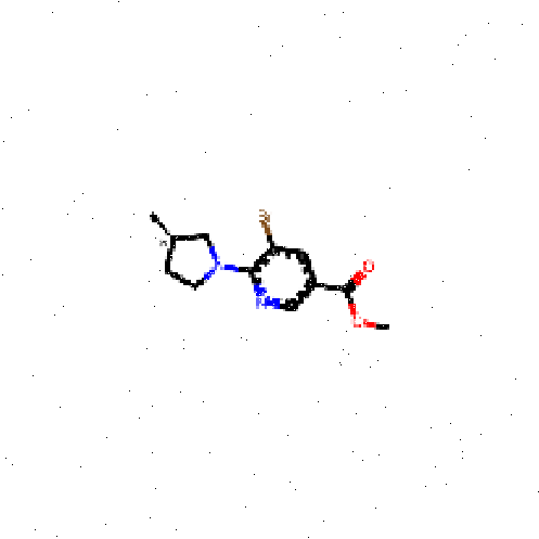 COC(=O)c1cnc(N2CC[C@@H](C)C2)c(Br)c1